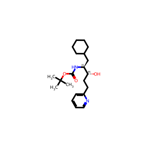 CC(C)(C)OC(=O)N[C@@H](CC1CCCCC1)[C@H](O)CCc1ccccn1